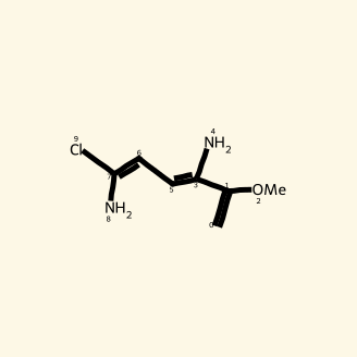 C=C(OC)/C(N)=C/C=C(\N)Cl